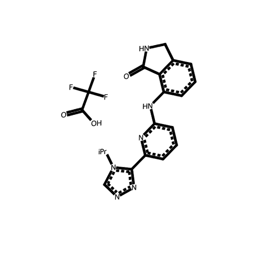 CC(C)n1cnnc1-c1cccc(Nc2cccc3c2C(=O)NC3)n1.O=C(O)C(F)(F)F